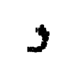 N#CCOc1ccc(CN2CCC(c3ccc4c(c3)CN(C3CCC(=O)NC3=O)C4=O)CC2)cc1